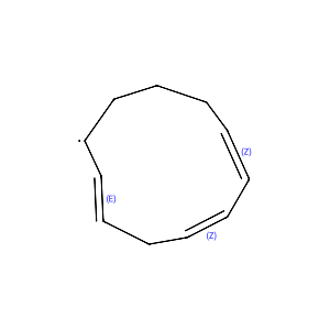 [CH]1/C=C/C/C=C\C=C/CCC1